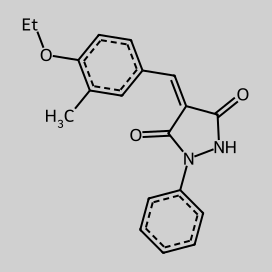 CCOc1ccc(C=C2C(=O)NN(c3ccccc3)C2=O)cc1C